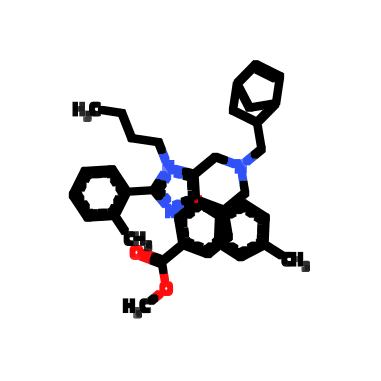 CCCCn1c(-c2ccccc2C)nc(-c2ccc(C)cc2)c1CN(Cc1ccc(C(=O)OC)cc1)CC1CC2C=CC1C2